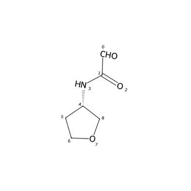 O=CC(=O)N[C@H]1CCOC1